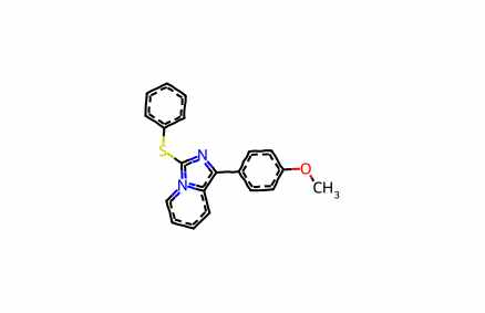 COc1ccc(-c2nc(Sc3ccccc3)n3ccccc23)cc1